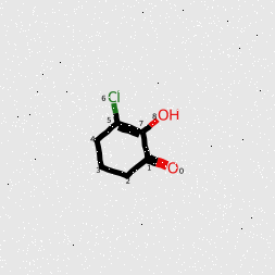 O=C1CCCC(Cl)=C1O